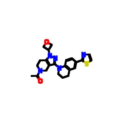 CC(=O)N1CCc2c(c(N3CCCc4cc(-c5nccs5)ccc43)nn2C2COC2)C1